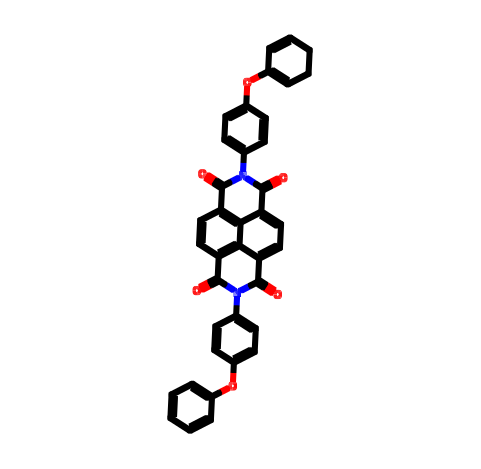 O=C1c2ccc3c4c(ccc(c24)C(=O)N1c1ccc(OC2=CCCC=C2)cc1)C(=O)N(c1ccc(Oc2ccccc2)cc1)C3=O